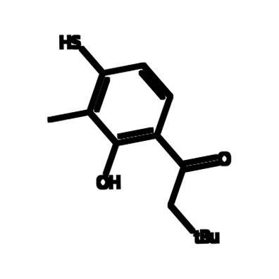 Cc1c(S)ccc(C(=O)CC(C)(C)C)c1O